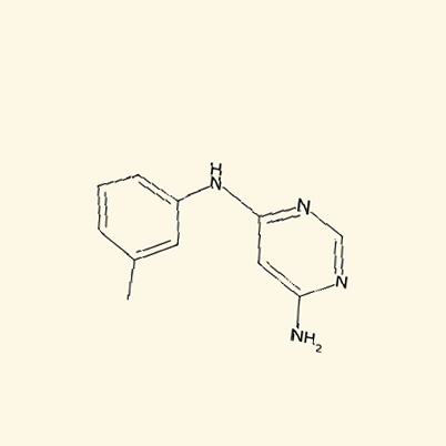 Cc1cccc(Nc2cc(N)ncn2)c1